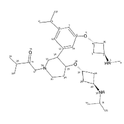 CN[C@H]1C[C@H](Oc2cc(C(C)C)cc(C3CN(CC(=O)C(C)C)CCC3O[C@H]3C[C@H](NC(C)C)C3)c2)C1